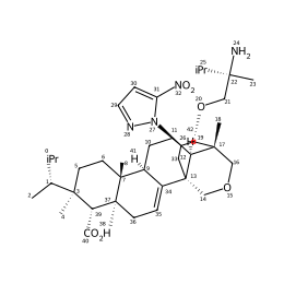 CC(C)[C@@H](C)[C@@]1(C)CC[C@]2(C)[C@H]3CC[C@@H]4[C@@]5(COC[C@@]4(C)[C@@H](OC[C@](C)(N)C(C)C)[C@H](n4nccc4[N+](=O)[O-])C5)C3=CC[C@@]2(C)[C@@H]1C(=O)O